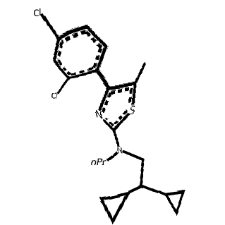 CCCN(CC(C1CC1)C1CC1)c1nc(-c2ccc(Cl)cc2Cl)c(C)s1